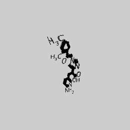 Cc1ccc(C(=O)Cn2cnc(C(Cc3ccc(N)nc3)C(=O)O)c2)c(C)c1